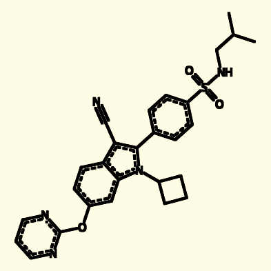 CC(C)CNS(=O)(=O)c1ccc(-c2c(C#N)c3ccc(Oc4ncccn4)cc3n2C2CCC2)cc1